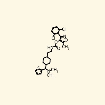 Cc1onc(-c2c(Cl)cccc2Cl)c1OC(=O)NCCC1CCC(C(c2cccs2)N(C)C)CC1